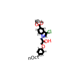 CCCCCCCCc1ccc(OCC(O)Cn2cc(Cl)c3cc(C(=O)OC(C)(C)C)ccc32)cc1